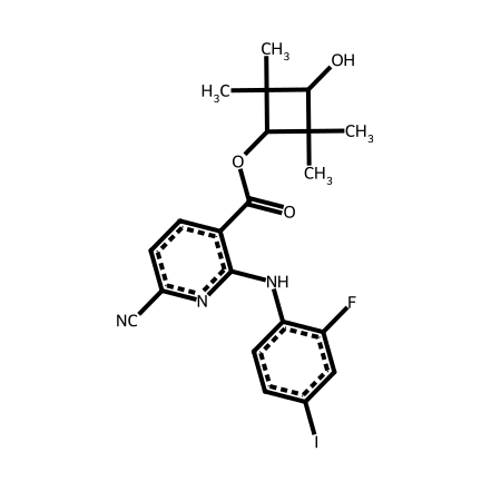 CC1(C)C(O)C(C)(C)C1OC(=O)c1ccc(C#N)nc1Nc1ccc(I)cc1F